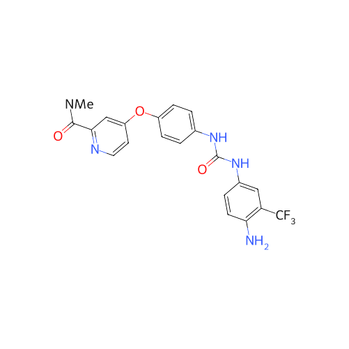 CNC(=O)c1cc(Oc2ccc(NC(=O)Nc3ccc(N)c(C(F)(F)F)c3)cc2)ccn1